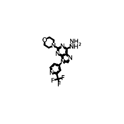 NNc1nc(N2CCOCC2)nc2c1ncn2-c1ccnc(C(F)(F)F)c1